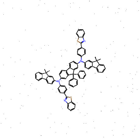 CC1(C)c2ccccc2-c2ccc(N(c3ccc(-c4nc5ccccc5s4)cc3)c3ccc4c(c3)C(c3ccccc3)(c3ccccc3)c3cc(N(c5ccc(-c6nc7ccccc7s6)cc5)c5ccc6c(c5)C(C)(C)c5ccccc5-6)ccc3-4)cc21